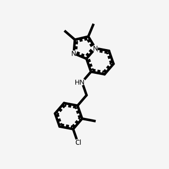 Cc1nc2c(NCc3cccc(Cl)c3C)cccn2c1C